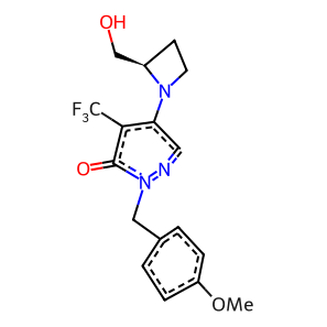 COc1ccc(Cn2ncc(N3CC[C@@H]3CO)c(C(F)(F)F)c2=O)cc1